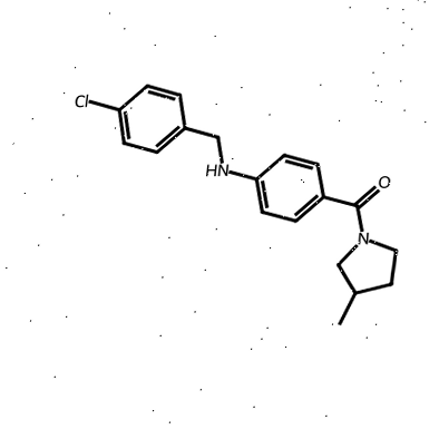 CC1CCN(C(=O)c2ccc(NCc3ccc(Cl)cc3)cc2)C1